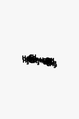 CC1(C)CC(OC(=O)CCCCCCCCC(=O)OC2CC(C)(C)N(OCI)C(C)(C)C2)CC(C)(C)N1OCI